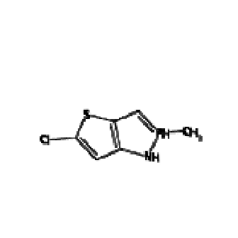 C[PH]1=Cc2sc(Cl)cc2N1